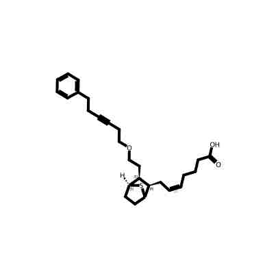 O=C(O)CCC/C=C\C[C@H]1C2CC[C@H](S2)[C@H]1CCOCCC#CCCc1ccccc1